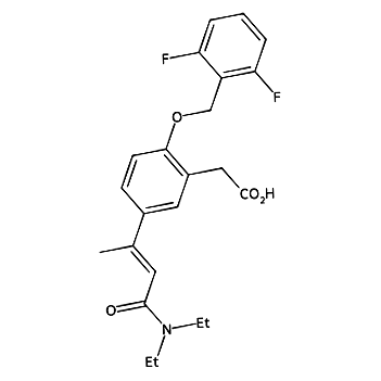 CCN(CC)C(=O)C=C(C)c1ccc(OCc2c(F)cccc2F)c(CC(=O)O)c1